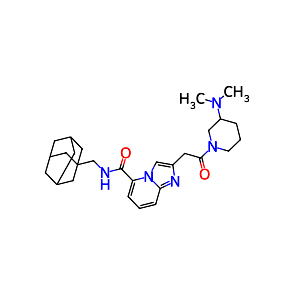 CN(C)C1CCCN(C(=O)Cc2cn3c(C(=O)NCC45CC6CC(CC(C6)C4)C5)cccc3n2)C1